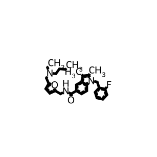 CCCCN(CC)Cc1ccc(CNC(=O)c2ccc3c(c2)c(C)c(C)n3Cc2ccccc2F)o1